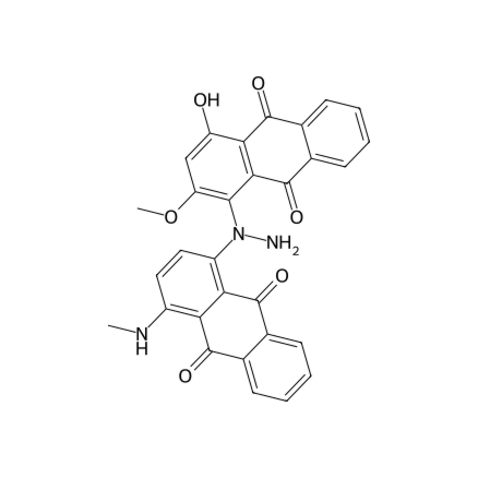 CNc1ccc(N(N)c2c(OC)cc(O)c3c2C(=O)c2ccccc2C3=O)c2c1C(=O)c1ccccc1C2=O